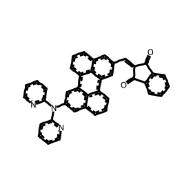 O=C1C(=Cc2cc3cccc4c5cc(N(c6ccccn6)c6ccccn6)cc6cccc(c(c2)c34)c65)C(=O)c2ccccc21